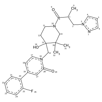 CC(Cn1cccn1)C(=O)N1CCC(O)(Cn2ccc(-c3ccccc3F)cc2=O)C(C)(C)C1